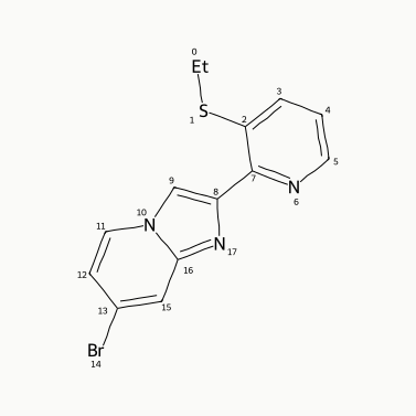 CCSc1cccnc1-c1cn2ccc(Br)cc2n1